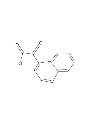 O=C(Cl)C(=O)c1cccc2ccccc12